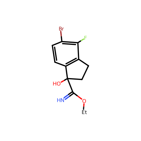 CCOC(=N)C1(O)CCc2c1ccc(Br)c2F